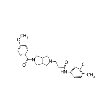 COc1ccc(C(=O)N2CC3CN(CCC(=O)Nc4ccc(C)c(Cl)c4)CC3C2)cc1